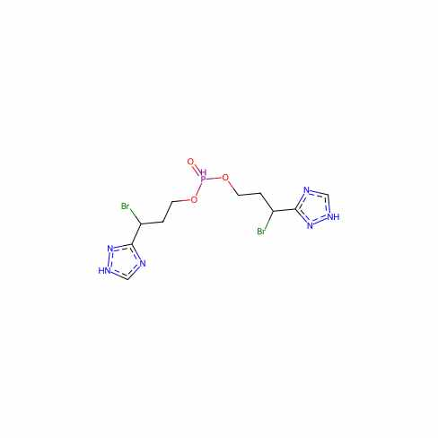 O=[PH](OCCC(Br)c1nc[nH]n1)OCCC(Br)c1nc[nH]n1